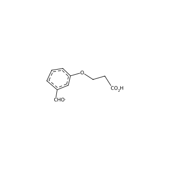 O=[C]c1cccc(OCCC(=O)O)c1